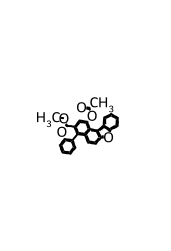 COC(=O)c1cc(OC(C)=O)c2c(ccc3oc4ccccc4c32)c1-c1ccccc1